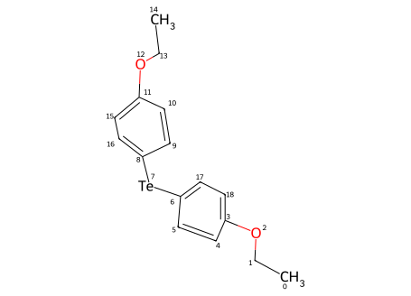 CCOc1ccc([Te]c2ccc(OCC)cc2)cc1